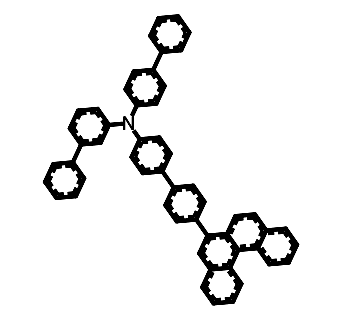 c1ccc(-c2ccc(N(c3ccc(-c4ccc(-c5cc6ccccc6c6c5ccc5ccccc56)cc4)cc3)c3cccc(-c4ccccc4)c3)cc2)cc1